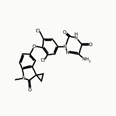 CN1C(=O)C2(CC2)c2cc(Oc3c(Cl)cc(-n4nc(N)c(=O)[nH]c4=O)cc3Cl)ccc21